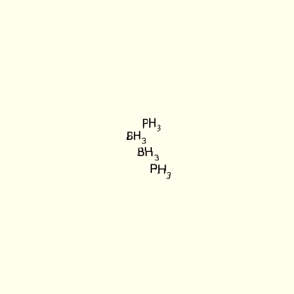 B.B.P.P